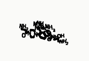 NCCC(=O)N1CCN(c2ccc(S(=O)(=O)NCC(O)CN)c(S(N)(=O)=O)c2-c2nn[nH]n2)CC1